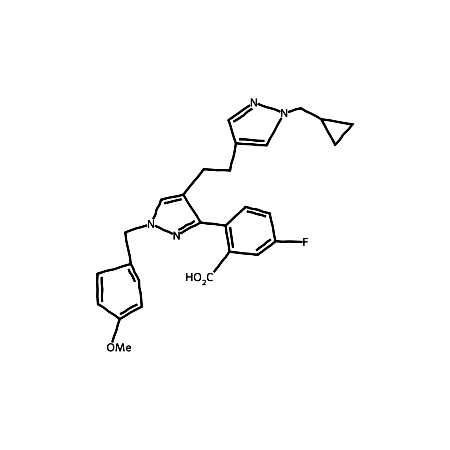 COc1ccc(Cn2cc(CCc3cnn(CC4CC4)c3)c(-c3ccc(F)cc3C(=O)O)n2)cc1